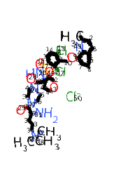 Cc1ccc2cccc(OCc3c(Cl)ccc(S(=O)(=O)NC4(C(=O)N5CCN(C(=O)[C@@H](N)CCC[N+](C)(C)C)CC5)CCOCC4)c3Cl)c2n1.[Cl-]